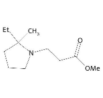 CCC1(C)CCCN1CCC(=O)OC